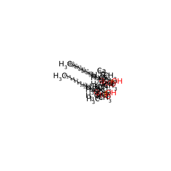 CCCCCCCCCCCCCCCCCCOc1c(C(C)(C)C)cc(CP(=O)(O)O)cc1C(C)(C)C.CCCCCCCCCCCCCCCCCCOc1c(C(C)(C)C)cc(CP(=O)(O)O)cc1C(C)(C)C.[Ca]